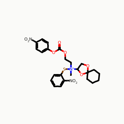 C[N+](CCOC(=O)Oc1ccc([N+](=O)[O-])cc1)(Sc1ccccc1[N+](=O)[O-])C1COC2(CCCCC2)O1